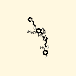 COc1cc2c(Nc3ncc(CCC(=O)Nc4ccc(F)cc4)s3)ncnc2cc1OCCCN1CCCC1